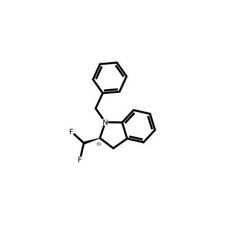 FC(F)[C@@H]1Cc2ccccc2N1Cc1ccccc1